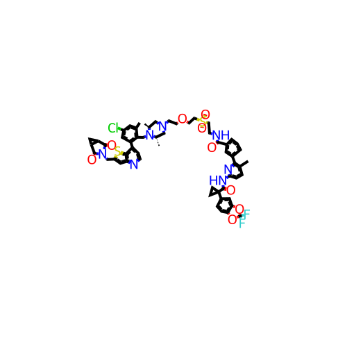 Cc1ccc(NC(=O)C2(c3ccc4c(c3)OC(F)(F)O4)CC2)nc1-c1cccc(C(=O)NCCS(=O)(=O)CCOCCN2C[C@H](C)N(Cc3c(C)cc(Cl)cc3-c3ccnc4cc(CN5C(=O)C6CC6C5=O)sc34)[C@@H](C)C2)c1